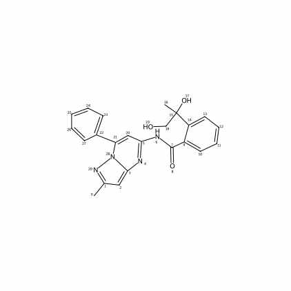 Cc1cc2nc(NC(=O)c3ccccc3C(C)(O)CO)cc(-c3ccccc3)n2n1